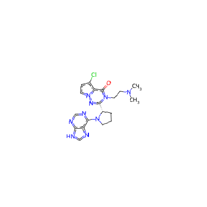 CN(C)CCn1c([C@@H]2CCCN2c2ncnc3[nH]cnc23)nn2ccc(Cl)c2c1=O